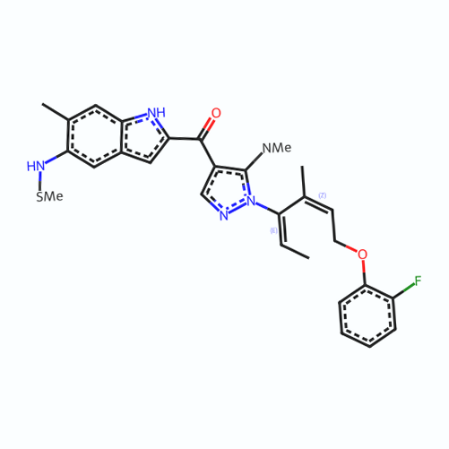 C/C=C(\C(C)=C/COc1ccccc1F)n1ncc(C(=O)c2cc3cc(NSC)c(C)cc3[nH]2)c1NC